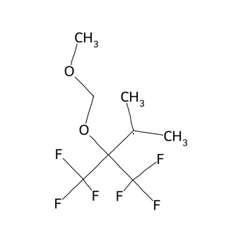 COCOC([C](C)C)(C(F)(F)F)C(F)(F)F